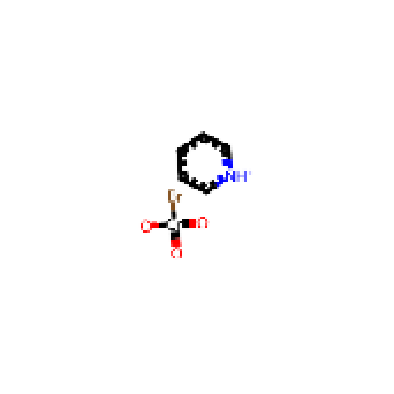 [O]=[Cr](=[O])([O-])[Br].c1cc[nH+]cc1